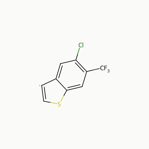 FC(F)(F)c1cc2sc[c]c2cc1Cl